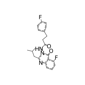 CC(C)Cc1nc2cccc(F)c2c(=O)n1NC(=O)CCc1ccc(F)cc1